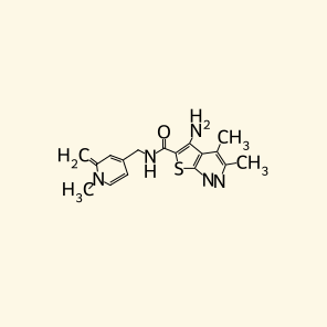 C=C1C=C(CNC(=O)c2sc3nnc(C)c(C)c3c2N)C=CN1C